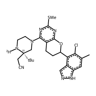 [2H]N1CCN(c2nc(SC)nc3c2CCC(c2c(Cl)c(C)cc4[nH]ncc24)O3)C[C@]1(CC#N)C(C)(C)C